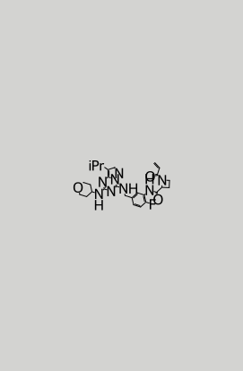 C=CC(=O)N1CCC1C(=O)Nc1cc(CNc2nc(NC3CCOCC3)nc3c(C(C)C)cnn23)ccc1F